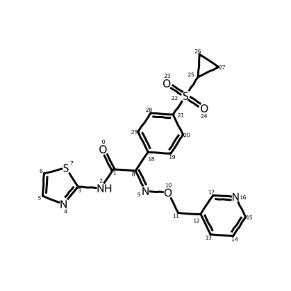 O=C(Nc1nccs1)/C(=N/OCc1cccnc1)c1ccc(S(=O)(=O)C2CC2)cc1